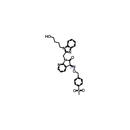 CS(=O)(=O)c1ccc(CO/N=C2/C(=O)N(Cc3nc4ccccc4n3CCCCO)c3ncccc32)cc1